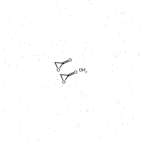 O.O=C1CO1.O=C1CO1